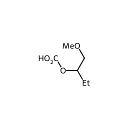 CCC(COC)OC(=O)O